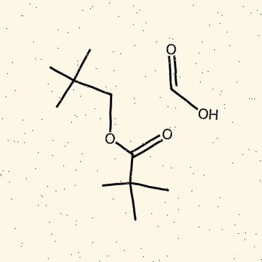 CC(C)(C)COC(=O)C(C)(C)C.O=CO